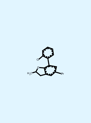 [CH2]C1Cc2cc(C(C)C)cc(-c3ccccc3Cl)c2O1